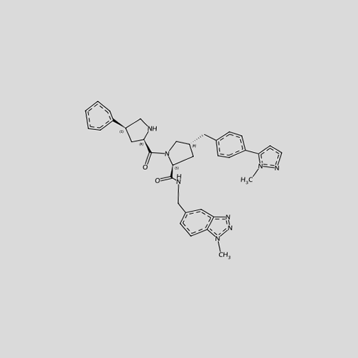 Cn1nccc1-c1ccc(C[C@@H]2C[C@@H](C(=O)NCc3ccc4c(c3)nnn4C)N(C(=O)[C@H]3C[C@@H](c4ccccc4)CN3)C2)cc1